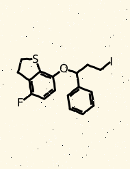 Fc1ccc(OC(CCI)c2ccccc2)c2c1CCS2